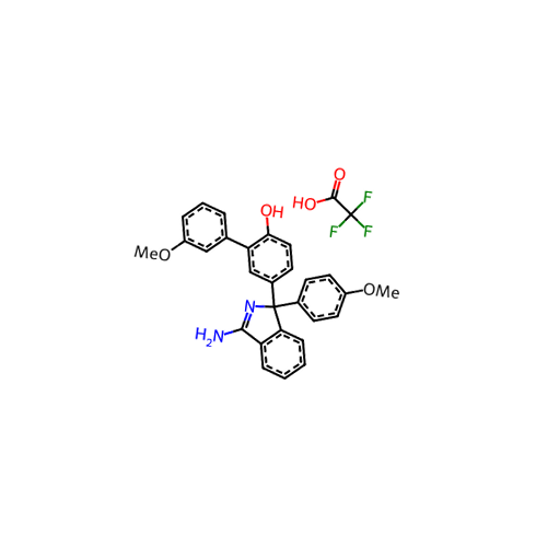 COc1ccc(C2(c3ccc(O)c(-c4cccc(OC)c4)c3)N=C(N)c3ccccc32)cc1.O=C(O)C(F)(F)F